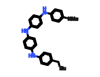 CCC(C)Cc1ccc(Nc2ccc(Nc3ccc(Nc4ccc(NC)cc4)cc3)cc2)cc1